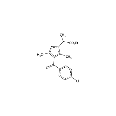 CCOC(=O)C(C)c1cc(C)c(C(=O)c2ccc(Cl)cc2)n1C